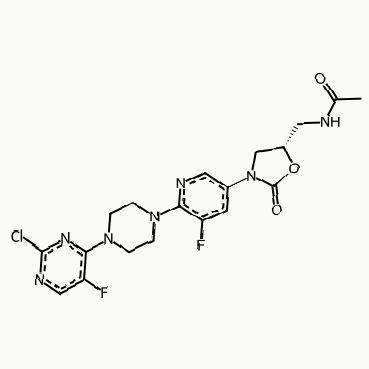 CC(=O)NC[C@H]1CN(c2cnc(N3CCN(c4nc(Cl)ncc4F)CC3)c(F)c2)C(=O)O1